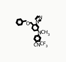 CN(c1ccc(C#N)c(C(F)(F)F)c1)C1C=C(n2ccnc2)C(COCc2ccccc2)CC1